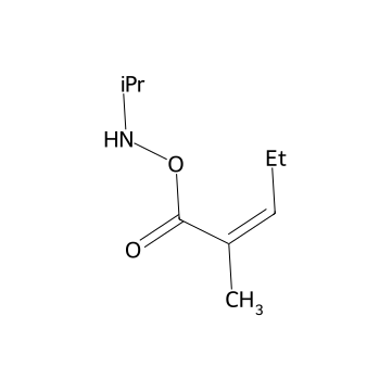 CCC=C(C)C(=O)ONC(C)C